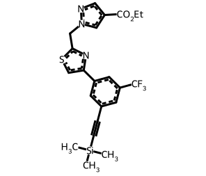 CCOC(=O)c1cnn(Cc2nc(-c3cc(C#C[Si](C)(C)C)cc(C(F)(F)F)c3)cs2)c1